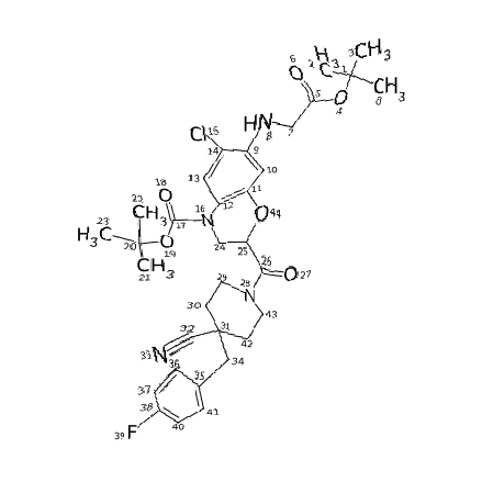 CC(C)(C)OC(=O)CNc1cc2c(cc1Cl)N(C(=O)OC(C)(C)C)CC(C(=O)N1CCC(C#N)(Cc3ccc(F)cc3)CC1)O2